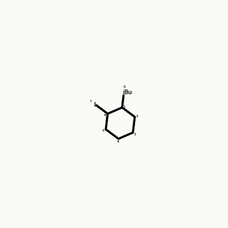 CCC(C)C1CCCCC1I